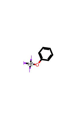 [I][Hf]([I])([I])[O]c1ccccc1